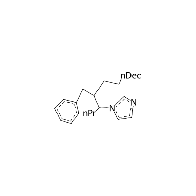 CCCCCCCCCCCCC(Cc1ccccc1)C(CCC)n1ccnc1